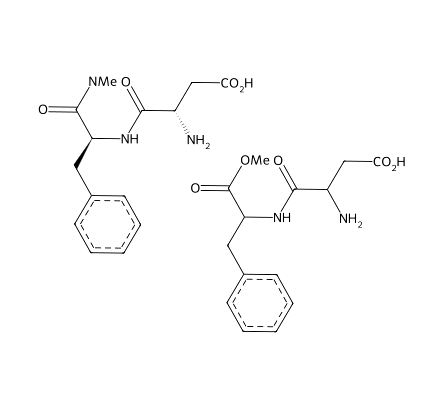 CNC(=O)[C@H](Cc1ccccc1)NC(=O)[C@@H](N)CC(=O)O.COC(=O)C(Cc1ccccc1)NC(=O)C(N)CC(=O)O